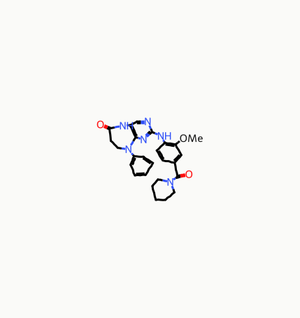 COc1cc(C(=O)N2CCCCC2)ccc1Nc1ncc2c(n1)N(c1ccccc1)CCC(=O)N2